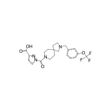 O=C(O)c1ccn(C(=O)N2CCC3(CCN(Cc4cccc(OC(F)(F)F)c4)C3)CC2)n1